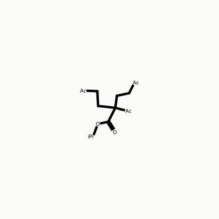 CC(=O)CCC(CCC(C)=O)(C(C)=O)C(=O)OC(C)C